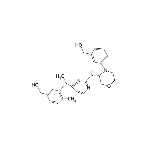 Cc1ccc(CO)cc1N(C)c1ccnc(NC2COCCN2c2cccc(CO)c2)n1